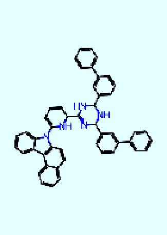 C1=CC(C2=NC(c3cccc(-c4ccccc4)c3)NC(c3cccc(-c4ccccc4)c3)N2)NC(n2c3ccccc3c3c4ccccc4ccc32)=C1